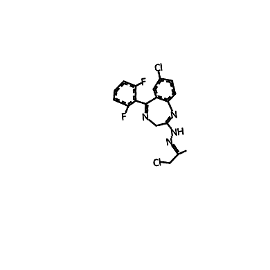 C/C(CCl)=N\NC1=Nc2ccc(Cl)cc2C(c2c(F)cccc2F)=NC1